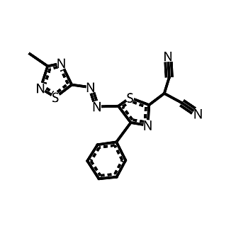 Cc1nsc(/N=N/c2sc(C(C#N)C#N)nc2-c2ccccc2)n1